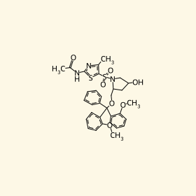 COc1ccccc1C(OCC1CC(O)CN1S(=O)(=O)c1sc(NC(C)=O)nc1C)(c1ccccc1)c1ccccc1OC